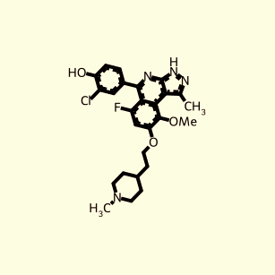 COc1c(OCCC2CCN(C)CC2)cc(F)c2c(-c3ccc(O)c(Cl)c3)nc3[nH]nc(C)c3c12